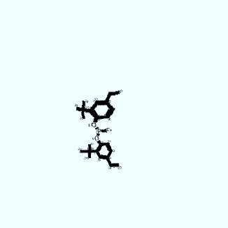 CCc1ccc(OP(F)Oc2ccc(CC)cc2C(C)(C)C)c(C(C)(C)C)c1